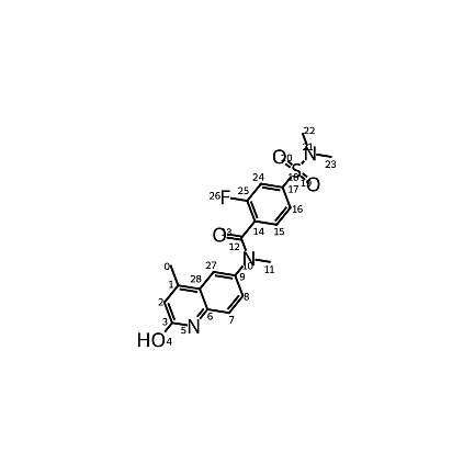 Cc1cc(O)nc2ccc(N(C)C(=O)c3ccc(S(=O)(=O)N(C)C)cc3F)cc12